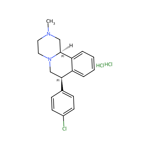 CN1CCN2C[C@H](c3ccc(Cl)cc3)c3ccccc3[C@@H]2C1.Cl.Cl